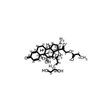 CCC(=O)OCC(=O)[C@@]1(OC(=O)CC)[C@@H](C)C[C@H]2[C@@H]3CCC4=CC(=O)C=C[C@]4(C)[C@@]3(F)[C@@H](O)C[C@@]21C.OCCO